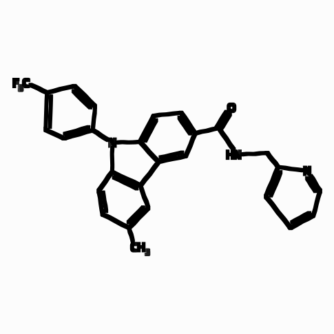 Cc1ccc2c(c1)c1cc(C(=O)NCc3ccccn3)ccc1n2-c1ccc(C(F)(F)F)cc1